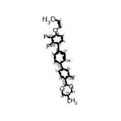 C/C=C\Oc1ccc(-c2ccc(-c3ccc(C4OCC(C)CO4)c(F)c3)cc2)c(F)c1F